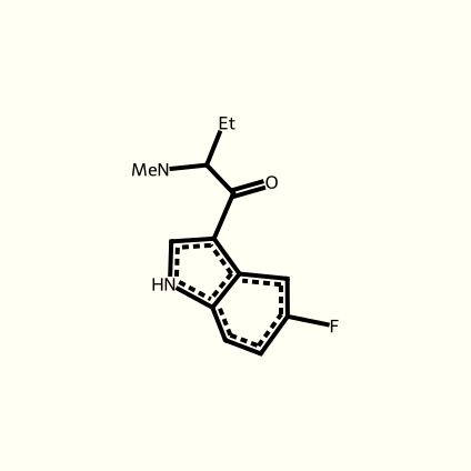 CCC(NC)C(=O)c1c[nH]c2ccc(F)cc12